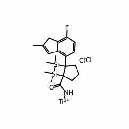 CC1=Cc2c(C34CCCC3(C(=O)[NH][Ti+2])[Si](C)(C)[Si]4(C)C)ccc(F)c2C1.[Cl-].[Cl-]